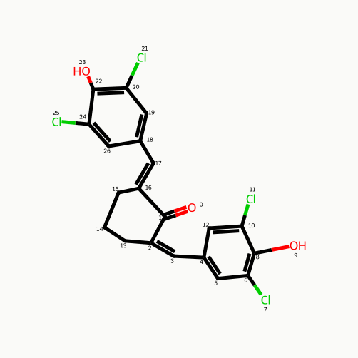 O=C1/C(=C\c2cc(Cl)c(O)c(Cl)c2)CCC/C1=C\c1cc(Cl)c(O)c(Cl)c1